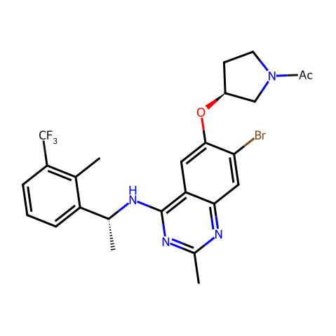 CC(=O)N1CC[C@H](Oc2cc3c(N[C@H](C)c4cccc(C(F)(F)F)c4C)nc(C)nc3cc2Br)C1